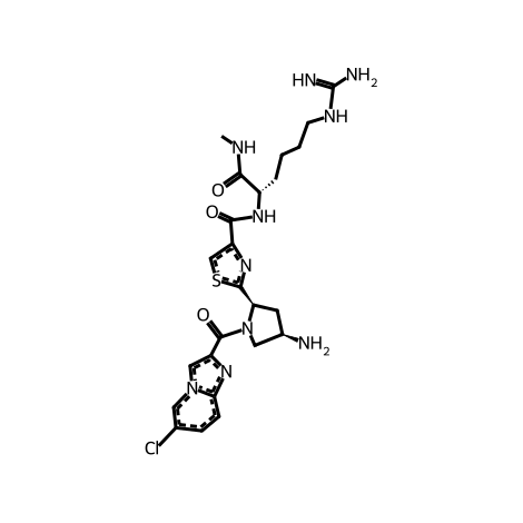 CNC(=O)[C@H](CCCCNC(=N)N)NC(=O)c1csc([C@H]2C[C@@H](N)CN2C(=O)c2cn3cc(Cl)ccc3n2)n1